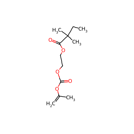 C=C(C)OC(=O)OCCOC(=O)C(C)(C)CC